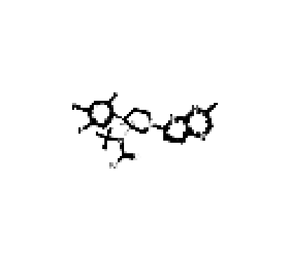 Cc1cnc2ccc(N3CC[C@H](c4cc(F)c(F)cc4F)[C@@H](N(C(=O)O)C(C)(C)C)C3)nc2n1